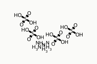 N.N.N.N.O=S(=O)(O)O.O=S(=O)(O)O.O=S(=O)(O)O.O=S(=O)(O)O